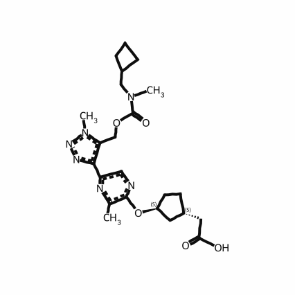 Cc1nc(-c2nnn(C)c2COC(=O)N(C)CC2CCC2)cnc1O[C@H]1CC[C@H](CC(=O)O)C1